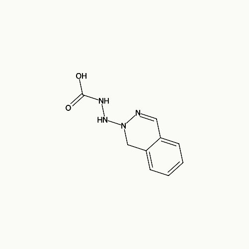 O=C(O)NNN1Cc2ccccc2C=N1